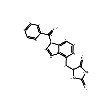 O=C1NC(=O)C(Cc2cccc3c2ccn3C(=O)c2ccccc2)S1